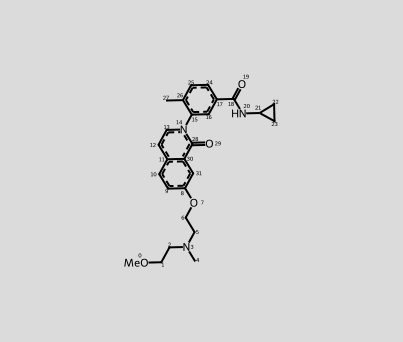 COCCN(C)CCOc1ccc2ccn(-c3cc(C(=O)NC4CC4)ccc3C)c(=O)c2c1